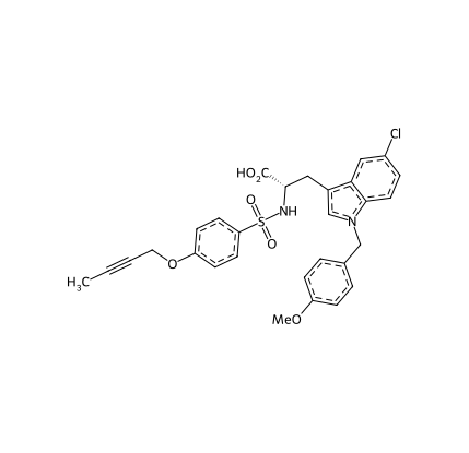 CC#CCOc1ccc(S(=O)(=O)N[C@@H](Cc2cn(Cc3ccc(OC)cc3)c3ccc(Cl)cc23)C(=O)O)cc1